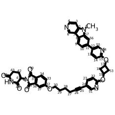 Cn1c2ccncc2c2ccc(-c3ccc(OC4CC(Oc5ccc(C#CCCCCOc6ccc7c(c6)C(=O)N(C6CCC(=O)NC6=O)C7=O)cn5)C4)nc3)cc21